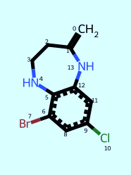 C=C1CCNc2c(Br)cc(Cl)cc2N1